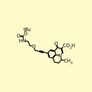 CC1CCc2cc(C#CCOCCNC(=O)OC(C)(C)C)cc3c(=O)c(C(=O)O)cn1c23